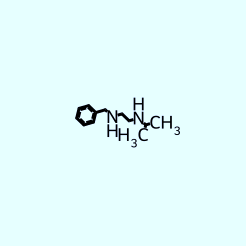 CC(C)NCCNCc1ccccc1